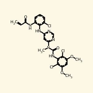 C=CC(=O)Nc1cccc(Cl)c1Nc1cc(N(C)C(=O)Nc2c(Cl)c(OC)cc(OC)c2Cl)ncn1